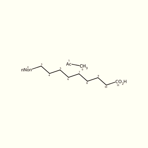 CC(C)=O.CCCCCCCCCCCCCCCCCC(=O)O